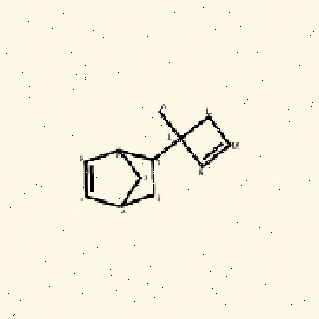 CC1(C2CC3C=CC2C3)C=CC1